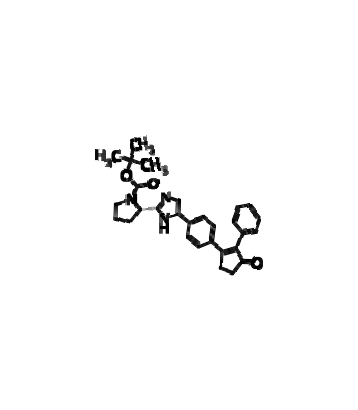 CC(C)(C)OC(=O)N1CCC[C@H]1c1ncc(-c2ccc(C3=C(c4ccccc4)C(=O)CC3)cc2)[nH]1